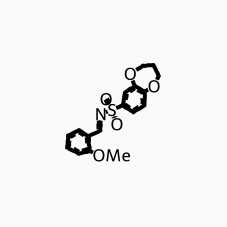 COc1ccccc1C=NS(=O)(=O)c1ccc2c(c1)OCCCO2